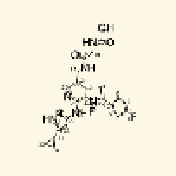 C[C@@H](c1ccc(F)cc1)N(F)c1cc(CNC(=O)CNC(=O)O)cnc1Nc1cc(C2CC2)[nH]n1